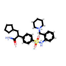 NC(=O)C(CC1CCCC1)c1ccc(S(=O)(=O)Nc2ccccc2CN2CCCCC2)cc1